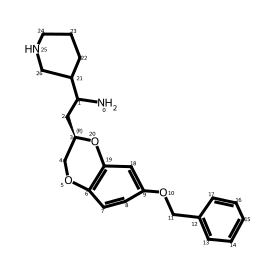 NC(C[C@@H]1COc2ccc(OCc3ccccc3)cc2O1)C1CCCNC1